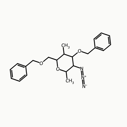 CC1OC(COCc2ccccc2)C(C)C(OCc2ccccc2)C1N=[N+]=[N-]